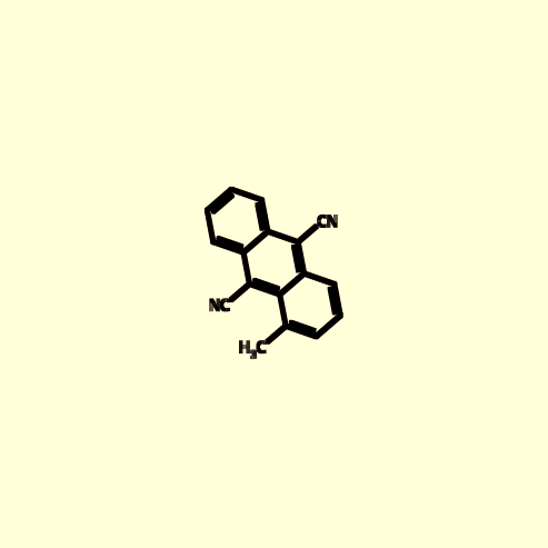 Cc1cccc2c(C#N)c3ccccc3c(C#N)c12